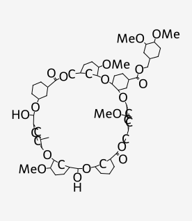 COC1CCC(COC(=O)C2CCC3OC4CC(CCC4OC)COC(=O)C4CCCC(C4)OC(O)C4CCC(OC5CC(CCC5OC)C(O)OC5CCCC(C5)C(=O)OCC5CCC(OC3C2)C(OC)C5)C(C)C4)CC1OC